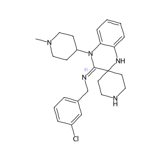 CN1CCC(N2/C(=N/Cc3cccc(Cl)c3)C3(CCNCC3)Nc3ccccc32)CC1